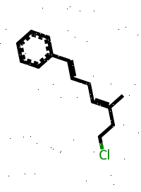 C/C(=C\C/C=C/c1ccccc1)CCCl